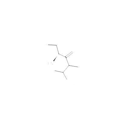 CC(C)C[C@H](N)C(=O)C(C(C)C(=O)O)C(F)(F)F